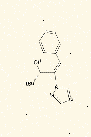 CC(C)(C)[C@H](O)/C(=C\c1ccccc1)n1cncn1